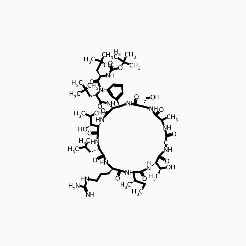 CC[C@H](C)[C@@H]1NC(=O)[C@@H](CCCNC(=N)N)NC(=O)[C@H](CC(C)C)NC(=O)[C@H]([C@H](O)C(C)C)NC(=O)[C@@H](NC(=O)[C@H](CC(C)(C)C)NC(=O)[C@@H](CC(C)(C)C)NC(=O)OC(C)(C)C)[C@@H](c2ccccc2)NC(=O)[C@H](CO)NC(=O)C(C)NC(=O)CNC(=O)[C@H]([C@H](C)O)NC1=O